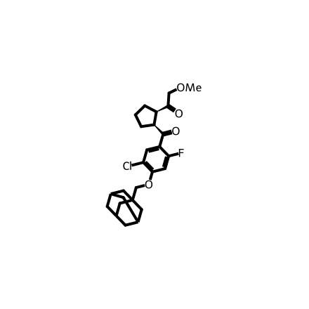 COCC(=O)[C@@H]1CCC[C@@H]1C(=O)c1cc(Cl)c(OCC23CC4CC(CC(C4)C2)C3)cc1F